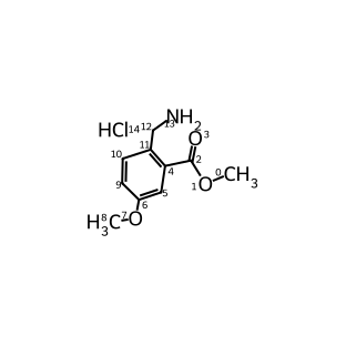 COC(=O)c1cc(OC)ccc1CN.Cl